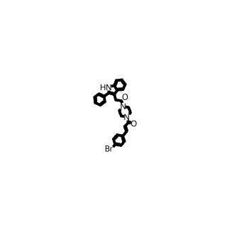 O=C(/C=C/c1ccc(Br)cc1)N1CCN(C(=O)Cc2c(-c3ccccc3)[nH]c3ccccc23)CC1